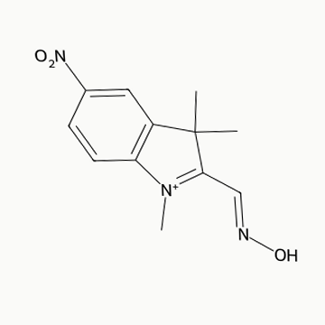 C[N+]1=C(C=NO)C(C)(C)c2cc([N+](=O)[O-])ccc21